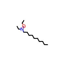 CCCCCCCCCCN(CC)OCC